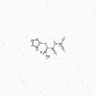 N[C@@H](Cc1cnc[nH]1)C(=O)O[N+](=O)[O-].[Ag]